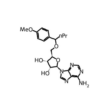 CCCC(OC[C@H]1O[C@@H](n2cnc3c(N)ncnc32)[C@H](O)[C@@H]1O)c1ccc(OC)cc1